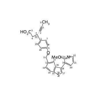 CC#C[C@@H](CC(=O)O)c1ccc(OCc2ccc3scc(-c4cccnc4OC)c3c2)cc1